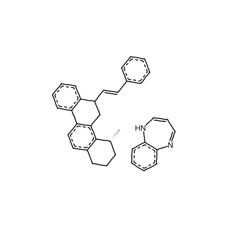 C1=CNc2ccccc2N=C1.C[C@@H]1CCCc2ccc3c(c21)CC(/C=C/c1ccccc1)c1ccccc1-3